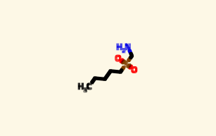 CCCCCS(=O)(=O)CN